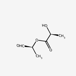 C[C@H](O)C(=O)O[C@@H](C)C=O